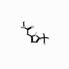 CNC(=O)Cc1ccc(C(C)(C)C)s1